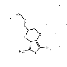 CCCCOCC1COc2c(C)sc(C)c2O1